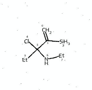 C=C([SiH3])C(Cl)(CC)NCC